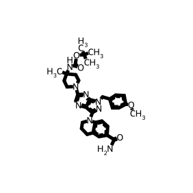 COc1ccc(Cn2nc(N3CCCc4cc(C(N)=O)ccc43)c3ncc(N4CCC(C)(NC(=O)OC(C)(C)C)CC4)nc32)cc1